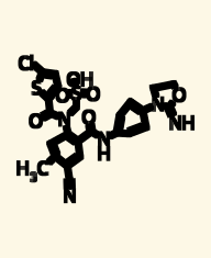 Cc1cc(N(CS(=O)(=O)O)C(=O)c2ccc(Cl)s2)c(C(=O)Nc2ccc(N3CCOC3=N)cc2)cc1C#N